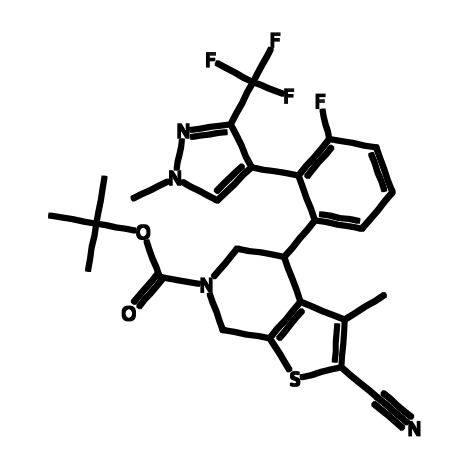 Cc1c(C#N)sc2c1C(c1cccc(F)c1-c1cn(C)nc1C(F)(F)F)CN(C(=O)OC(C)(C)C)C2